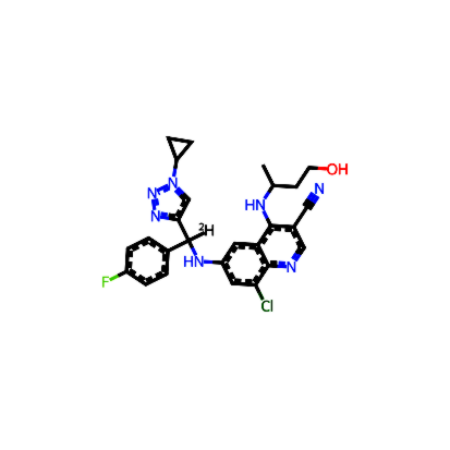 [2H]C(Nc1cc(Cl)c2ncc(C#N)c(NC(C)CCO)c2c1)(c1ccc(F)cc1)c1cn(C2CC2)nn1